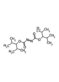 CC(C)C(OC(=O)N=NC(=O)OC(C(C)C)C(C)C)C(C)C